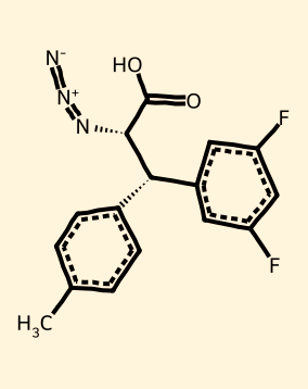 Cc1ccc([C@@H](c2cc(F)cc(F)c2)[C@H](N=[N+]=[N-])C(=O)O)cc1